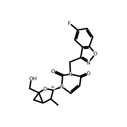 CC1C2CC2(CO)O[C@H]1n1ccc(=O)n(Cc2noc3ccc(F)cc23)c1=O